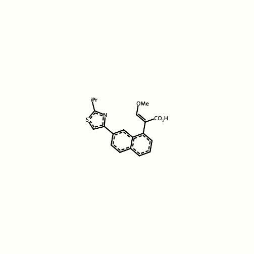 COC=C(C(=O)O)c1cccc2ccc(-c3csc(C(C)C)n3)cc12